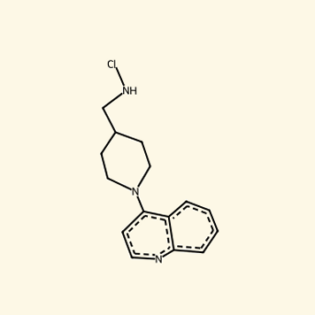 ClNCC1CCN(c2ccnc3ccccc23)CC1